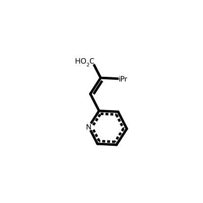 CC(C)/C(=C\c1ccccn1)C(=O)O